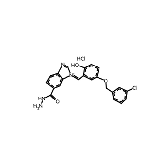 Cl.NNC(=O)c1ccc2c(c1)[N+](=Cc1cc(OCc3cccc(Cl)c3)ccc1O)C=N2